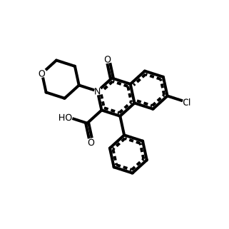 O=C(O)c1c(-c2ccccc2)c2cc(Cl)ccc2c(=O)n1C1CCOCC1